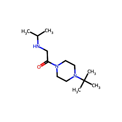 CC(C)NCC(=O)N1CCN(C(C)(C)C)CC1